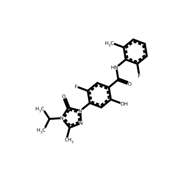 Cc1cccc(F)c1NC(=O)c1cc(F)c(-n2nc(C)n(C(C)C)c2=O)cc1O